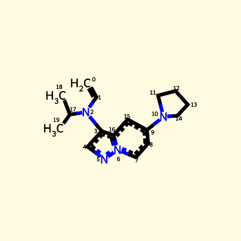 C=CN(c1cnn2ccc(N3CCCC3)cc12)C(C)C